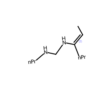 C/C=C(/CCC)NCNCCC